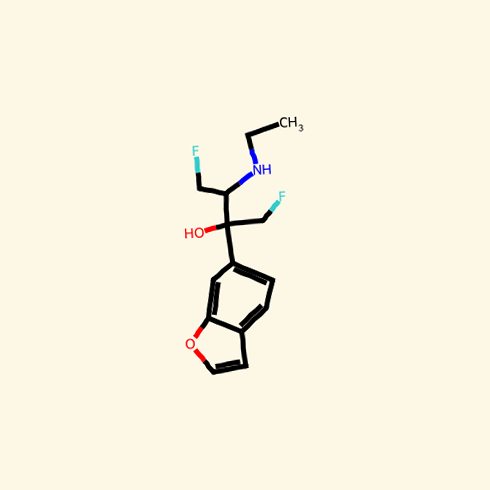 CCNC(CF)C(O)(CF)c1ccc2ccoc2c1